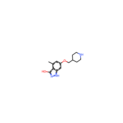 Cc1cc(OCC2CCNCC2)cc2[nH]nc(O)c12